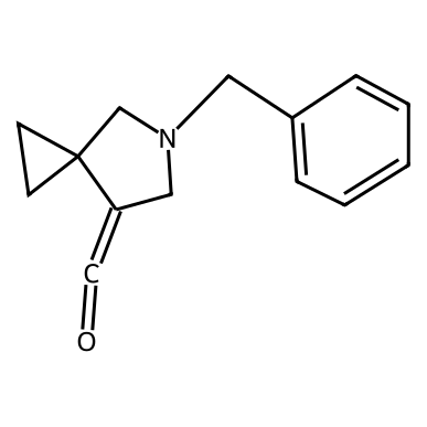 O=C=C1CN(Cc2ccccc2)CC12CC2